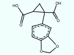 O=C(O)C1CC1(C(=O)O)c1ccc2c(c1)OCO2